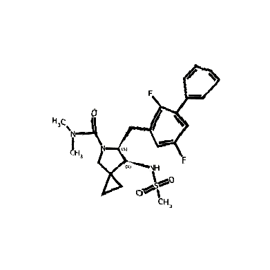 CN(C)C(=O)N1CC2(CC2)[C@H](NS(C)(=O)=O)[C@@H]1Cc1cc(F)cc(-c2ccccc2)c1F